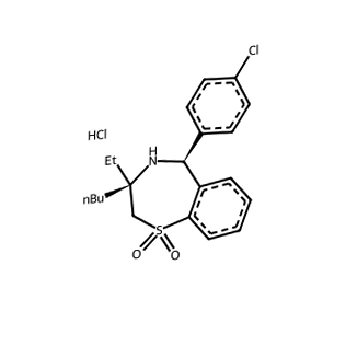 CCCC[C@]1(CC)CS(=O)(=O)c2ccccc2[C@H](c2ccc(Cl)cc2)N1.Cl